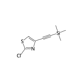 C[Si](C)(C)C#Cc1csc(Cl)n1